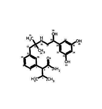 CC(C)C(C(N)=O)c1cccc(CC(C)(C)NCC(O)c2cc(O)cc(O)c2)c1